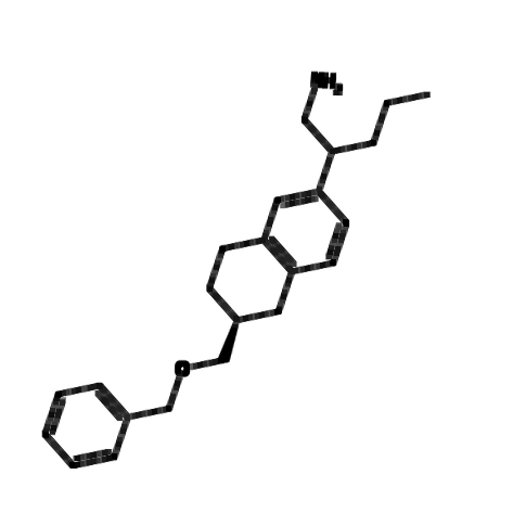 CCCC(CN)c1ccc2c(c1)CC[C@H](COCc1ccccc1)C2